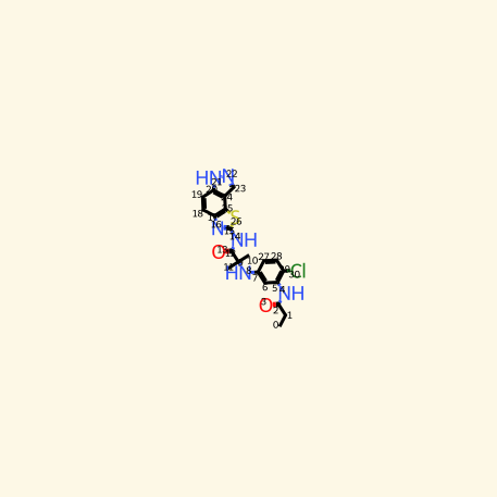 CCC(=O)Nc1cc(NC(C)(C)C(=O)Nc2nc3ccc4[nH]ncc4c3s2)ccc1Cl